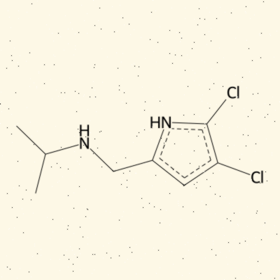 CC(C)NCc1cc(Cl)c(Cl)[nH]1